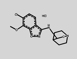 COc1c(Cl)ccc2c(NC3CN4CCC3CC4)noc12.Cl